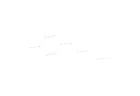 O=[C]CC/C=C/c1ccc(Cl)cc1